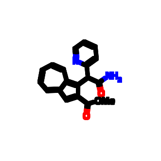 COC(=O)c1cc2cccccc-2c1C(C(N)=O)c1ccccn1